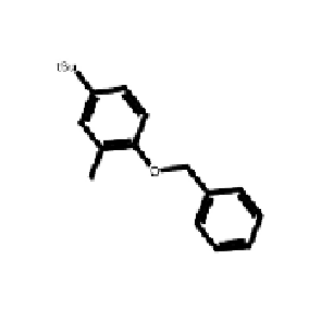 Cc1cc(C(C)(C)C)ccc1OCc1ccccc1